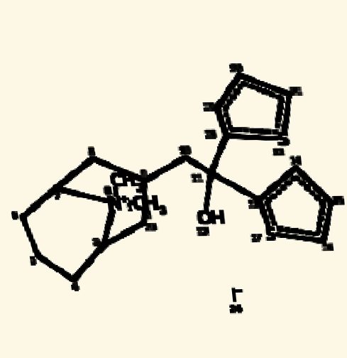 C[N+]1(C)C2CCCC1CC(CC(O)(c1cccs1)c1cccs1)C2.[I-]